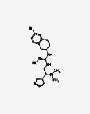 CN(C)C(CNC(=NC#N)NC1CCc2cc(Br)ccc2C1)c1ccsc1